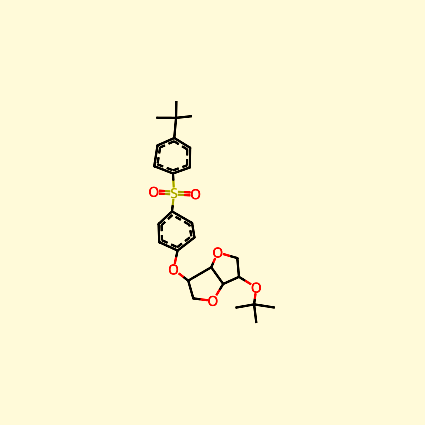 CC(C)(C)OC1COC2C(Oc3ccc(S(=O)(=O)c4ccc(C(C)(C)C)cc4)cc3)COC12